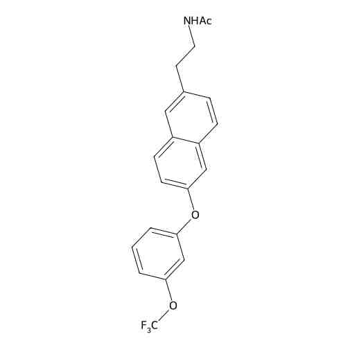 CC(=O)NCCc1ccc2cc(Oc3cccc(OC(F)(F)F)c3)ccc2c1